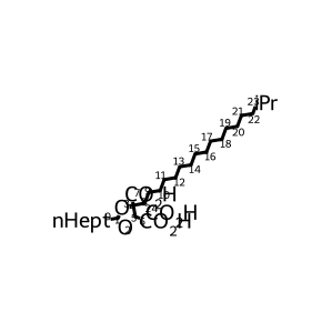 CCCCCCCC(=O)OC(CC(=O)O)(C(=O)O)C(CCCCCCCCCCCCCCC(C)C)C(=O)O